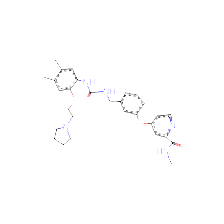 CNC(=O)c1cc(Oc2cccc(CNC(=O)Nc3cc(C)c(Cl)cc3OCCN3CCCC3)c2)ccn1